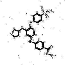 CCNC(=O)c1ccc(Nc2cnc(Oc3ccc(S(C)(=O)=O)cc3)c(CC3CCOC3)c2)nc1